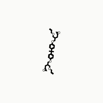 C=CCOCC(COc1ccc(C(C)(C)c2ccc(OCC(COCC=C)CC3CO3)cc2)cc1)CC1CO1